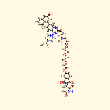 C=CC(=O)N1CCN(c2nc(O[C@H](C)CN3CCC(OCCOCCOCCOc4ccc5c(c4)C(=O)N(C4CCC(=O)NC4=O)C5=O)CC3)nc3c(F)c(-c4cc(O)cc5ccccc45)c(Cl)cc23)CC1